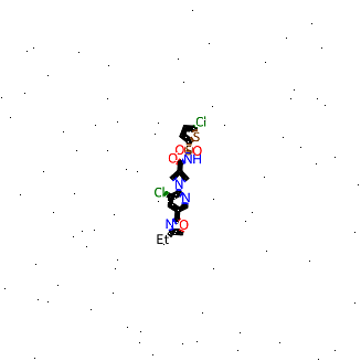 CCc1coc(-c2cnc(N3CC(C(=O)NS(=O)(=O)c4ccc(Cl)s4)C3)c(Cl)c2)n1